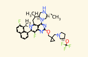 CC[C@@H]1CN2c3nc(OCC4(CN5CC[C@H](OC(F)(F)F)C5)CC4)nc4c(F)c(-c5cccc6ccc(F)c(C)c56)nc(c34)CC(C)[C@H]2CN1